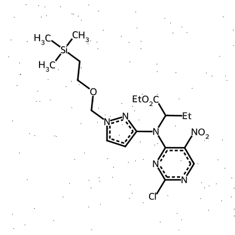 CCOC(=O)C(CC)N(c1ccn(COCC[Si](C)(C)C)n1)c1nc(Cl)ncc1[N+](=O)[O-]